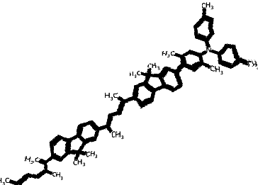 C=C(/C(C)=C\C=C\C)c1ccc2c(c1)C(C)(C)c1cc(/C(C)=C/C=C(\C)c3ccc4c(c3)C(C)(C)c3cc(-c5cc(C)c(N(c6ccc(C)cc6)c6ccc(C)cc6)cc5C)ccc3-4)ccc1-2